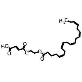 CC/C=C\C/C=C\C/C=C\C/C=C\C/C=C\CCCC(=O)OCCOC(=O)/C=C/C(=O)O